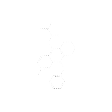 C=C(C)C(=O)Oc1c2c(c(Oc3ccccc3)c3cc(Cl)ccc13)CCCC2